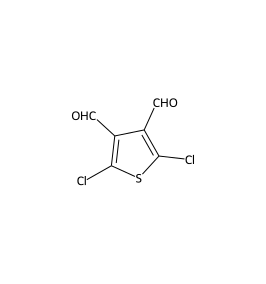 O=Cc1c(Cl)sc(Cl)c1C=O